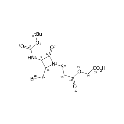 CC(C)(C)OC(=O)NC1C(=O)N(SCC(=O)OCC(=O)O)C1CBr